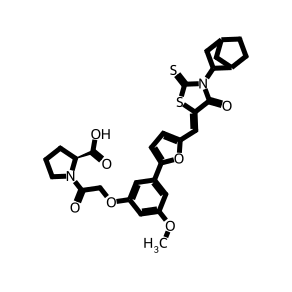 COc1cc(OCC(=O)N2CCC[C@H]2C(=O)O)cc(-c2ccc(C=C3SC(=S)N(C4CC5CCC4C5)C3=O)o2)c1